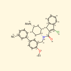 CCOc1ccc(-c2cccc(C#N)c2)cc1CN(C(=O)C1=C(Cl)c2ccccc2C1)[C@H]1CC[C@@H](NC)CC1